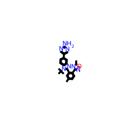 Cc1ccc(-c2noc(C)n2)c(-c2nc3cc(-c4cnc(N)nc4)ccc3n2C(C)(C)C)c1